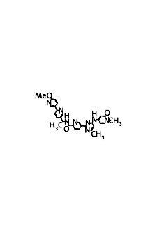 COc1ccc(-c2ccc(C(C)NC(=O)c3ccc(-c4nc(C)cc(Nc5ccn(C)c(=O)c5)n4)cn3)cn2)cn1